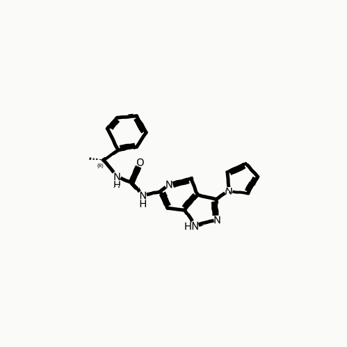 C[C@@H](NC(=O)Nc1cc2[nH]nc(-n3cccc3)c2cn1)c1ccccc1